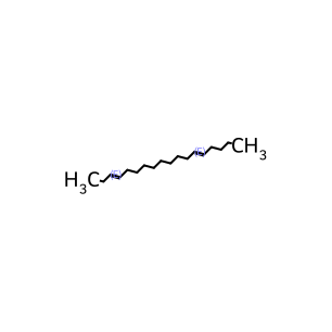 CC/C=C/CCCCCCCC/C=C/CCCC